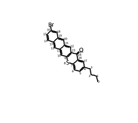 CCCCc1ccc2sc3cc4cc5ccc(Br)cc5cc4cc3c(=O)c2c1